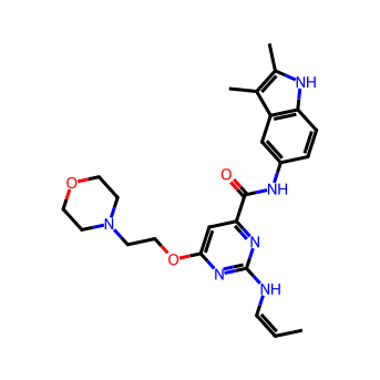 C/C=C\Nc1nc(OCCN2CCOCC2)cc(C(=O)Nc2ccc3[nH]c(C)c(C)c3c2)n1